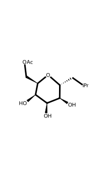 CC(=O)OC[C@H]1O[C@H](CC(C)C)[C@@H](O)[C@@H](O)[C@H]1O